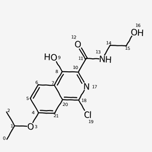 CC(C)Oc1ccc2c(O)c(C(=O)NCCO)nc(Cl)c2c1